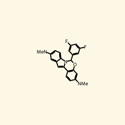 CNc1ccc2c(c1)OC(c1cc(F)cc(F)c1)n1c-2cc2cc(NC)ccc21